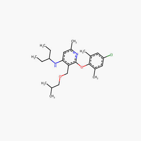 CCC(CC)Nc1cc(C)nc(Oc2c(C)cc(Cl)cc2C)c1COCC(C)C